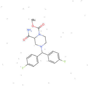 CC(C)(C)OC(=O)N1CCN(C(c2ccc(F)cc2)c2ccc(F)cc2)CC1C(N)=O